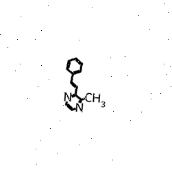 Cc1nccnc1C=Cc1ccccc1